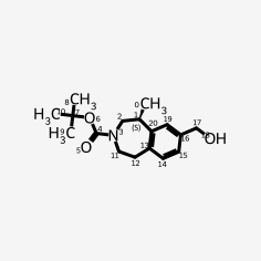 C[C@@H]1CN(C(=O)OC(C)(C)C)CCc2ccc(CO)cc21